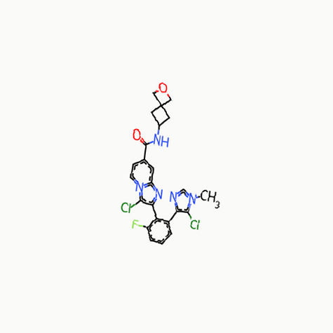 Cn1cnc(-c2cccc(F)c2-c2nc3cc(C(=O)NC4CC5(COC5)C4)ccn3c2Cl)c1Cl